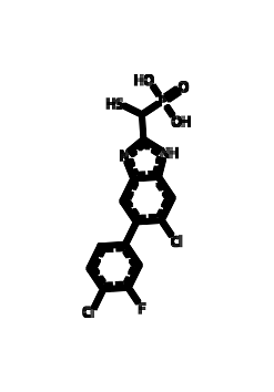 O=P(O)(O)C(S)c1nc2cc(-c3ccc(Cl)c(F)c3)c(Cl)cc2[nH]1